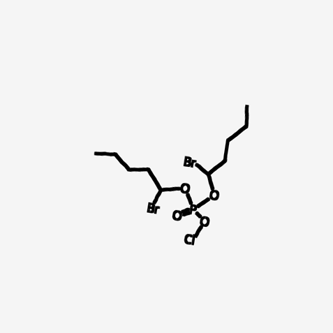 CCCCC(Br)OP(=O)(OCl)OC(Br)CCCC